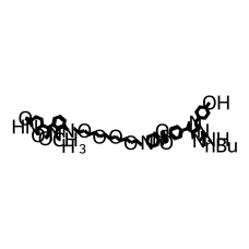 CCCCNc1ncc2c(-c3ccc(S(=O)(=O)N4CCN(CCOCCOCCOCCOCCNc5cccc6c5N(C)C(=O)C6C5CCC(=O)NC5=O)CC4)cc3)cn(C3CCC(O)CC3)c2n1